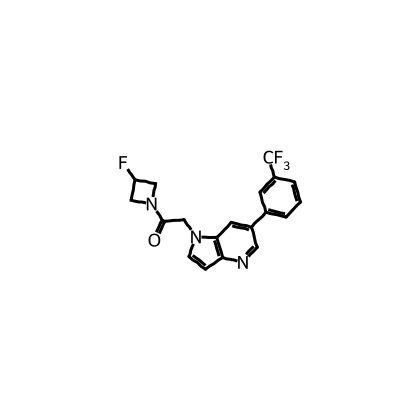 O=C(Cn1ccc2ncc(-c3cccc(C(F)(F)F)c3)cc21)N1CC(F)C1